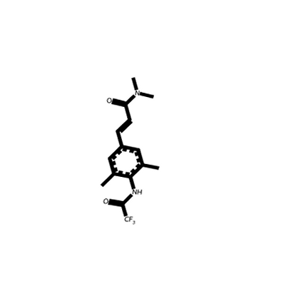 Cc1cc(/C=C/C(=O)N(C)C)cc(C)c1NC(=O)C(F)(F)F